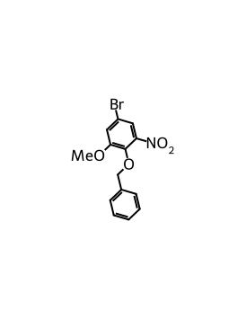 COc1cc(Br)cc([N+](=O)[O-])c1OCc1ccccc1